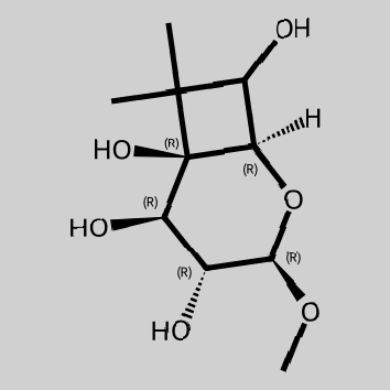 CO[C@@H]1O[C@@H]2C(O)C(C)(C)[C@@]2(O)[C@H](O)[C@H]1O